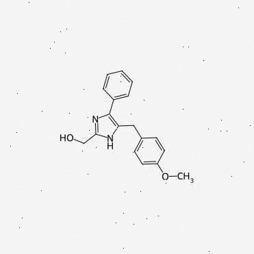 COc1ccc(Cc2[nH]c(CO)nc2-c2ccccc2)cc1